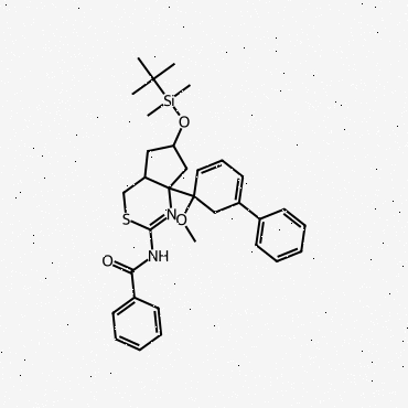 COC1(C23CC(O[Si](C)(C)C(C)(C)C)CC2CSC(NC(=O)c2ccccc2)=N3)C=CC=C(c2ccccc2)C1